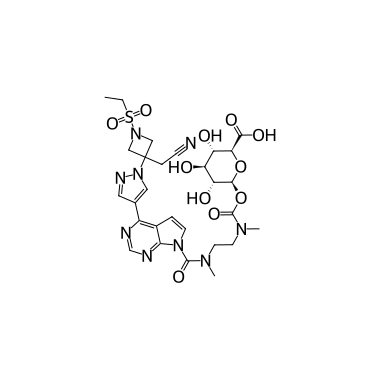 CCS(=O)(=O)N1CC(CC#N)(n2cc(-c3ncnc4c3ccn4C(=O)N(C)CCN(C)C(=O)O[C@@H]3O[C@H](C(=O)O)[C@@H](O)[C@H](O)[C@H]3O)cn2)C1